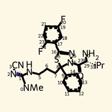 CN/C(=N/C#N)NCCCC1(c2ccccc2)SC(c2cc(F)ccc2F)=NN1C(=O)[C@H](N)C(C)C